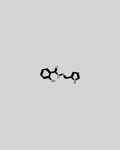 O=C(N/N=C/c1ccc[nH]1)c1ccccc1O